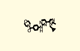 Cc1ncc(-c2ccnc(Nc3ccc(C(=O)N4CCOCC4)cc3)n2)n1CC1CC1